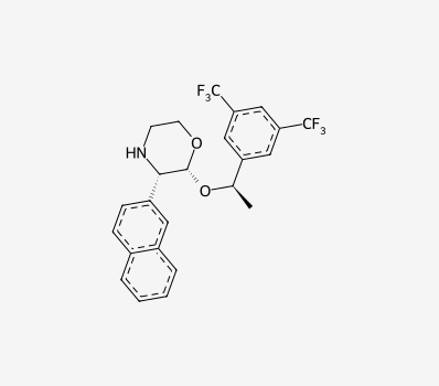 C[C@@H](O[C@H]1OCCN[C@H]1c1ccc2ccccc2c1)c1cc(C(F)(F)F)cc(C(F)(F)F)c1